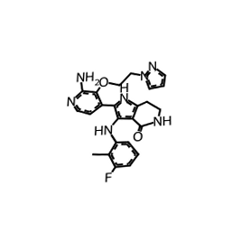 Cc1c(F)cccc1Nc1c(-c2ccnc(N)c2OCCn2cccn2)[nH]c2c1C(=O)NCC2